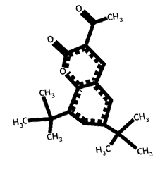 CC(=O)c1cc2cc(C(C)(C)C)cc(C(C)(C)C)c2oc1=O